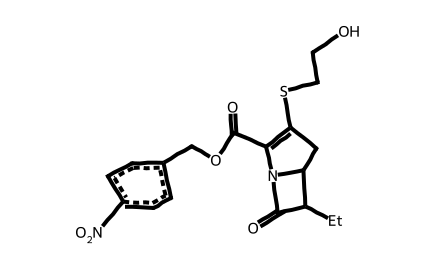 CCC1C(=O)N2C(C(=O)OCc3ccc([N+](=O)[O-])cc3)=C(SCCO)CC12